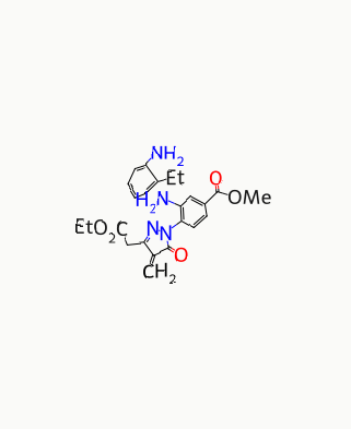 C=C1C(=O)N(c2ccc(C(=O)OC)cc2N)N=C1CC(=O)OCC.CCc1ccccc1N